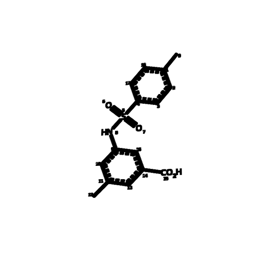 Cc1ccc(S(=O)(=O)Nc2cc(C)cc(C(=O)O)c2)cc1